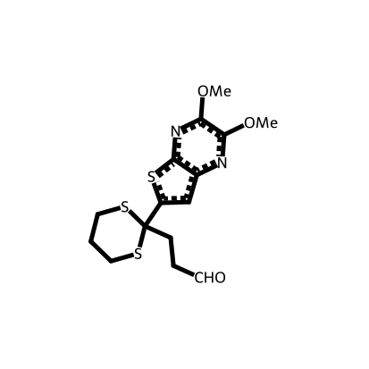 COc1nc2cc(C3(CCC=O)SCCCS3)sc2nc1OC